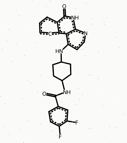 O=C(NC1CCC(Nc2ccnc3[nH]c(=O)c4ccccc4c23)CC1)c1ccc(F)c(F)c1